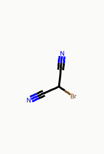 N#CC(Br)C#N